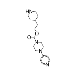 O=C(OCCC1CCNCC1)N1CCN(c2ccncc2)CC1